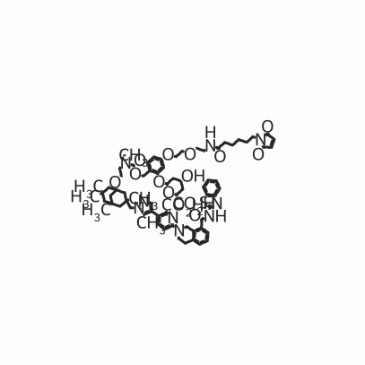 Cc1c(-c2ccc(N3CCc4cccc(C(=O)Nc5nc6ccccc6s5)c4C3)nc2C(=O)O)cnn1CC1(C)CC2(C)CC(C)(C)CC(OCCN(C)C(=O)OCc3ccc(OCCOCCNC(=O)CCCCCN4C(=O)C=CC4=O)cc3OC3CC(O)CC(C(=O)O)O3)(C1)C2